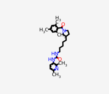 Cc1cc(C)c(C(=O)N2CCC(CCCCCNC(=O)Nc3ccc(C)nc3C)C2)c(C)c1